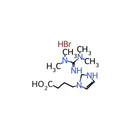 Br.CN(C)C(=N)N(C)C.O=C(O)CCCN1C=CNC1